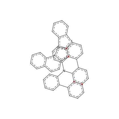 c1ccc(-c2ccccc2N(c2ccc3c(c2)sc2ccccc23)c2ccccc2-c2cccc3oc4c5ccccc5ccc4c23)cc1